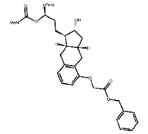 CCCCC[C@@H](CC[C@@H]1[C@H]2Cc3cccc(OCC(=O)OCc4ccccc4)c3C[C@H]2C[C@H]1O)OC(=O)NC